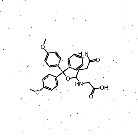 COc1ccc(C(OC(CCC(N)=O)NCC(=O)O)(c2ccccc2)c2ccc(OC)cc2)cc1